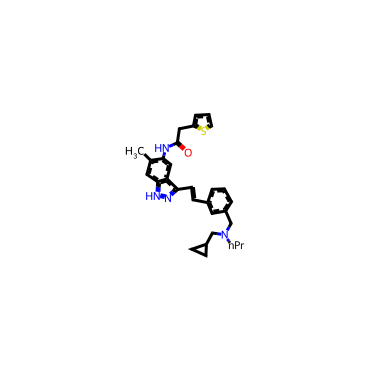 CCCN(Cc1cccc(C=Cc2n[nH]c3cc(C)c(NC(=O)Cc4cccs4)cc23)c1)CC1CC1